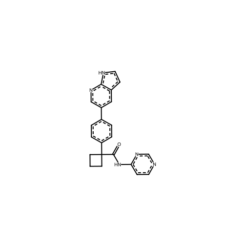 O=C(Nc1ccncn1)C1(c2ccc(-c3cnc4[nH]ccc4c3)cc2)CCC1